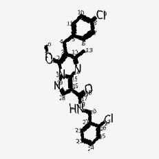 COc1c(Cc2ccc(Cl)cc2)c(C)nc2c(C(=O)NCc3ccccc3Cl)cnn12